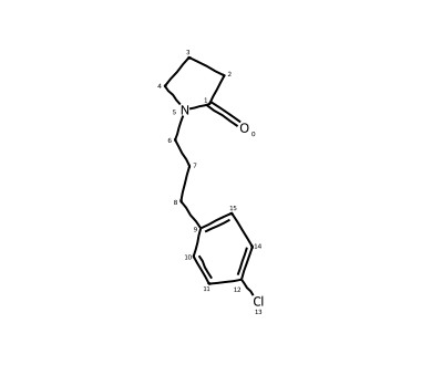 O=C1CCCN1CCCc1ccc(Cl)cc1